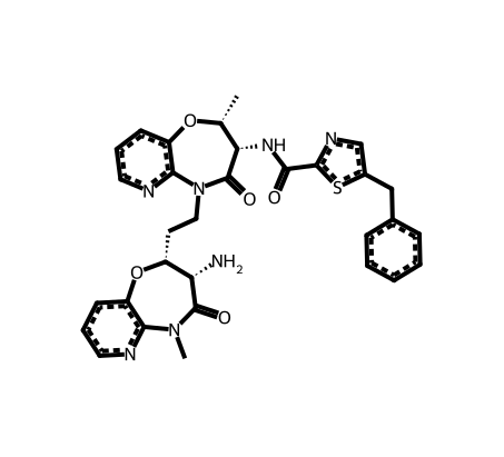 C[C@H]1Oc2cccnc2N(CC[C@H]2Oc3cccnc3N(C)C(=O)[C@H]2N)C(=O)[C@H]1NC(=O)c1ncc(Cc2ccccc2)s1